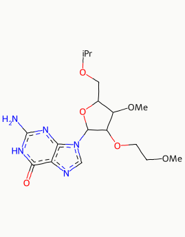 COCCOC1C(OC)C(COC(C)C)OC1n1cnc2c(=O)[nH]c(N)nc21